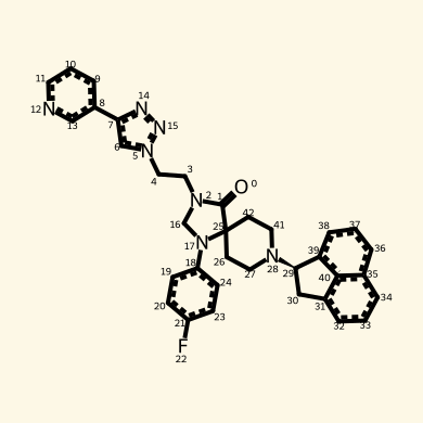 O=C1N(CCn2cc(-c3cccnc3)nn2)CN(c2ccc(F)cc2)C12CCN([C@@H]1Cc3cccc4cccc1c34)CC2